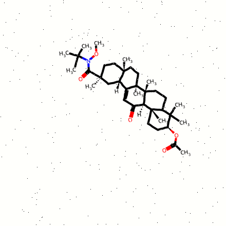 CON(C(=O)[C@@]1(C)CC[C@]2(C)CC[C@]3(C)C(=CC(=O)[C@@H]4[C@@]5(C)CC[C@H](OC(C)=O)C(C)(C)C5CC[C@]43C)[C@@H]2C1)C(C)(C)C